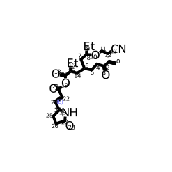 C=CC(=O)CCC(CC(CC)OCCC#N)CC(CC)C(=O)OC(=O)/C=C/C1CCC(=O)N1